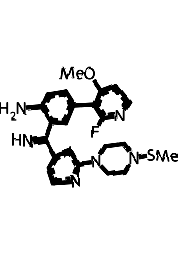 COc1ccnc(F)c1-c1ccc(N)c(C(=N)c2ccnc(N3CCN(SC)CC3)c2)c1